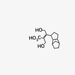 O=C(O)C(CO)=C(CO)C1CCC2C3CCC(C3)C12